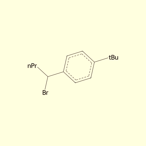 CCCC(Br)c1ccc(C(C)(C)C)cc1